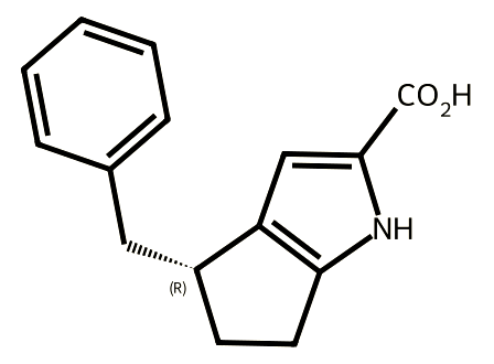 O=C(O)c1cc2c([nH]1)CC[C@@H]2Cc1ccccc1